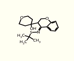 CC(C)(C)S/N=C1/c2ccccc2OCC1C1(O)CCOCC1